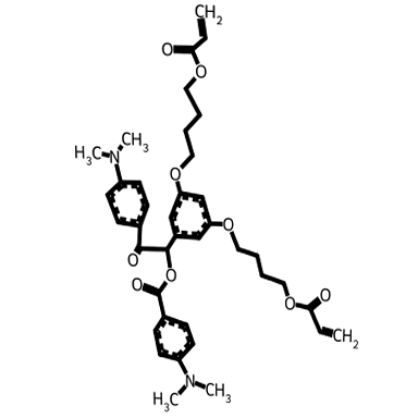 C=CC(=O)OCCCCOc1cc(OCCCCOC(=O)C=C)cc(C(OC(=O)c2ccc(N(C)C)cc2)C(=O)c2ccc(N(C)C)cc2)c1